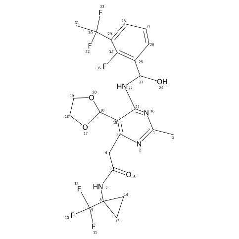 Cc1nc(CC(=O)NC2(C(F)(F)F)CC2)c(C2OCCO2)c(NC(O)c2cccc(C(C)(F)F)c2F)n1